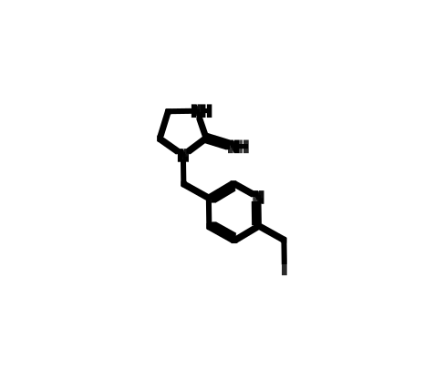 N=C1NCCN1Cc1ccc(CI)nc1